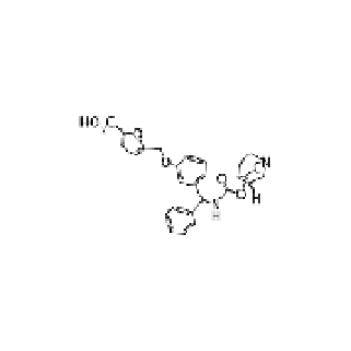 O=C(NC(c1ccccc1)c1cccc(OCc2ccc(C(=O)O)o2)c1)O[C@H]1CN2CCC1CC2